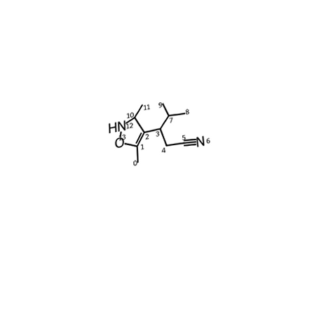 CC1=C(C(CC#N)C(C)C)C(C)NO1